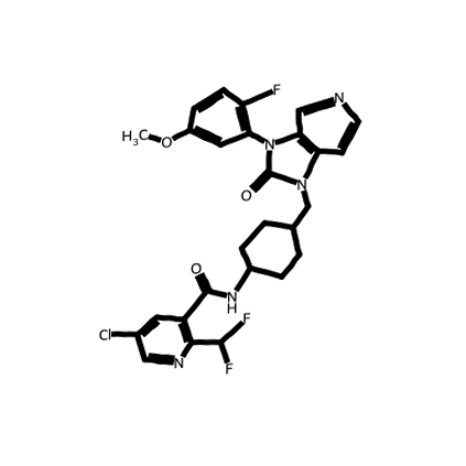 COc1ccc(F)c(-n2c(=O)n(CC3CCC(NC(=O)c4cc(Cl)cnc4C(F)F)CC3)c3ccncc32)c1